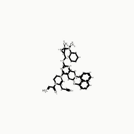 C=CC(=O)N1CCN(c2nc(OCC3S[C@]3(C)N(C)C3CCCCC3)nc3c2CCN(c2cccc4cccc(Cl)c24)C3)C=C1CC#N